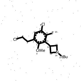 COc1c(CCCl)cc(Cl)c(F)c1C1CN(C(C)(C)C)C1